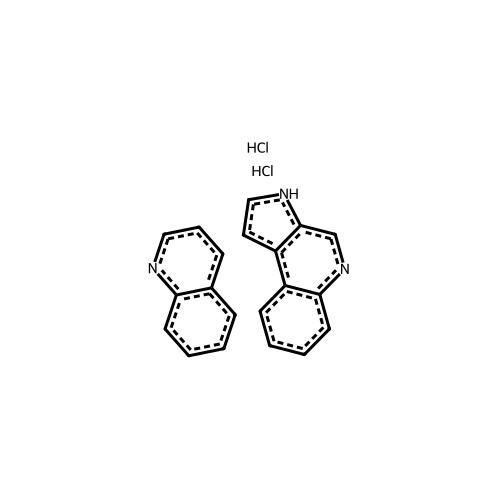 Cl.Cl.c1ccc2c(c1)ncc1[nH]ccc12.c1ccc2ncccc2c1